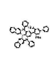 CC(C)(C)c1cc(-c2ccccc2)cc(C(C)(C)C)c1-c1cc2c3c(c1)N(c1ccccc1)c1cc4ccccc4cc1B3c1cc3ccccc3cc1N2c1ccccc1